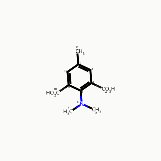 Cc1cc(C(=O)O)c(N(C)C)c(C(=O)O)c1